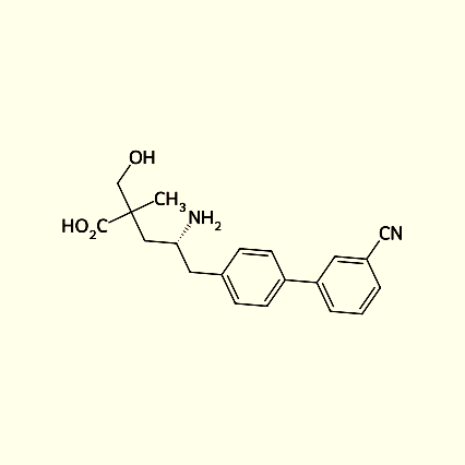 CC(CO)(C[C@H](N)Cc1ccc(-c2cccc(C#N)c2)cc1)C(=O)O